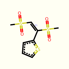 CS(=O)(=O)/C=C(\c1cccs1)S(C)(=O)=O